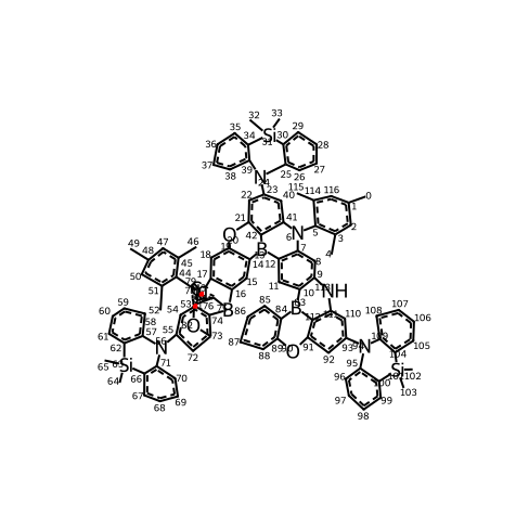 Cc1cc(C)c(N2c3cc4c(cc3B3c5cc6c(cc5Oc5cc(N7c8ccccc8[Si](C)(C)c8ccccc87)cc2c53)N(c2c(C)cc(C)cc2C)c2cc(N3c5ccccc5[Si](C)(C)c5ccccc53)cc3c2B6c2ccccc2O3)B2c3ccccc3Oc3cc(N5c6ccccc6[Si](C)(C)c6ccccc65)cc(c32)N4)c(C)c1